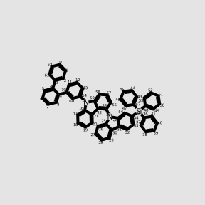 c1ccc(-c2ccccc2-c2cccc(-n3c4ccccc4c4c(-n5c6ccccc6c6ccc([Si](c7ccccc7)(c7ccccc7)c7ccccc7)cc65)cccc43)c2)cc1